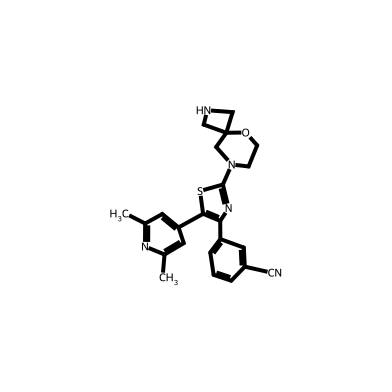 Cc1cc(-c2sc(N3CCOC4(CNC4)C3)nc2-c2cccc(C#N)c2)cc(C)n1